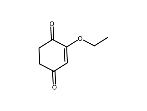 CCOC1=CC(=O)CCC1=O